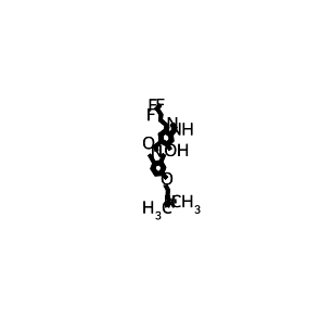 CN(C)CCCOc1ccc2c(c1)CN(C(=O)c1cc3c(CCC(F)(F)F)n[nH]c3cc1O)C2